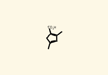 CC1=CC(C)=C(C(=O)O)C1